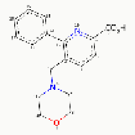 O=C(O)c1ccc(CN2CCOCC2)c(-c2ccccc2)n1